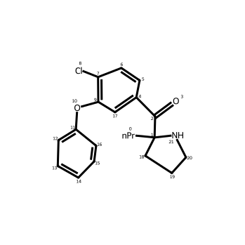 CCCC1(C(=O)c2ccc(Cl)c(Oc3ccccc3)c2)CCCN1